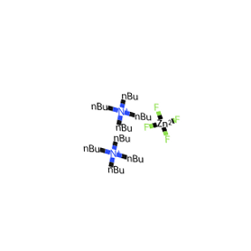 CCCC[N+](CCCC)(CCCC)CCCC.CCCC[N+](CCCC)(CCCC)CCCC.[F][Zn-2]([F])([F])[F]